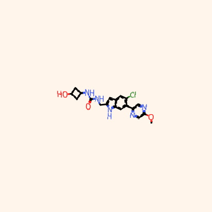 COc1cnc(-c2cc3[nH]c(CNC(=O)NC4CC(O)C4)cc3cc2Cl)cn1